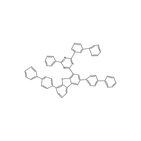 c1ccc(-c2ccc(-c3cc(-c4nc(-c5ccccc5)nc(-c5cccc(-c6ccccc6)c5)n4)c4sc5c(-c6ccc(-c7ccccc7)cc6)cccc5c4c3)cc2)cc1